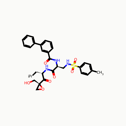 Cc1ccc(S(=O)(=O)NC[C@H](NC(=O)c2cccc(-c3ccccc3)c2)C(=O)N[C@@H](CC(C)C)C(=O)[C@@]2(CO)CO2)cc1